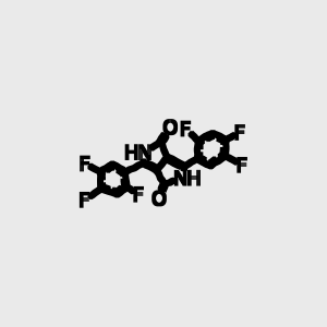 O=C1NC(c2cc(F)c(F)cc2F)=C2C(=O)NC(c3cc(F)c(F)cc3F)=C12